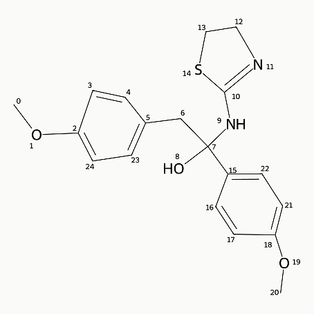 COc1ccc(CC(O)(NC2=NCCS2)c2ccc(OC)cc2)cc1